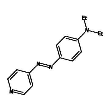 CCN(CC)c1ccc(/N=N/c2ccncc2)cc1